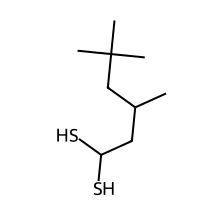 CC(CC(S)S)CC(C)(C)C